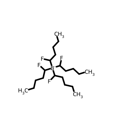 CCCCC(F)[B-](C(F)CCCC)(C(F)CCCC)C(F)CCCC